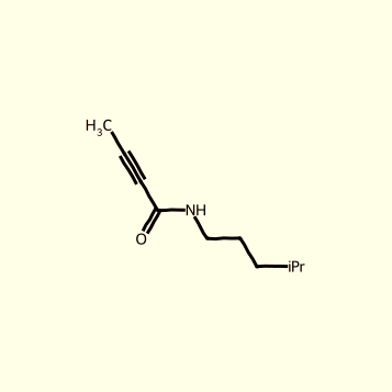 CC#CC(=O)NCCCC(C)C